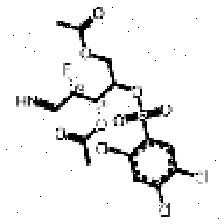 CC(=O)OCC(OS(=O)(=O)c1cc(Cl)c(Cl)cc1Cl)[C@H](OC(C)=O)[C@@H](F)C=N